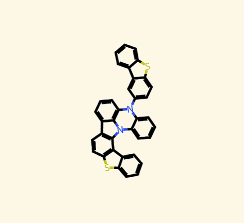 c1ccc2c(c1)N(c1ccc3sc4ccccc4c3c1)c1cccc3c4ccc5sc6ccccc6c5c4n-2c13